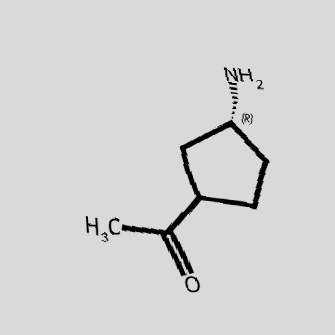 CC(=O)C1CC[C@@H](N)C1